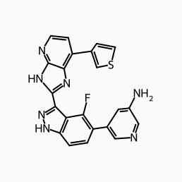 Nc1cncc(-c2ccc3[nH]nc(-c4nc5c(-c6ccsc6)ccnc5[nH]4)c3c2F)c1